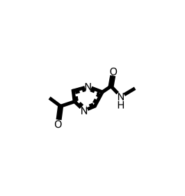 CNC(=O)c1cnc(C(C)=O)cn1